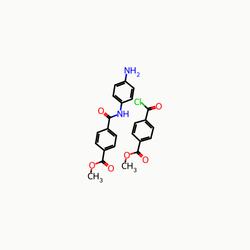 COC(=O)c1ccc(C(=O)Cl)cc1.COC(=O)c1ccc(C(=O)Nc2ccc(N)cc2)cc1